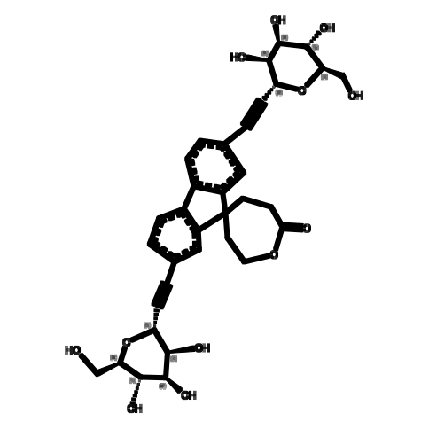 O=C1CCC2(CCO1)c1cc(C#C[C@H]3O[C@H](CO)[C@@H](O)[C@H](O)[C@@H]3O)ccc1-c1ccc(C#C[C@H]3O[C@H](CO)[C@@H](O)[C@H](O)[C@@H]3O)cc12